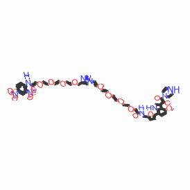 COc1ccc(-c2ccc(CNC(=O)COCCOCCOCCOCCn3cc(COCCOCCOCCOCCNc4ccc([N+](=O)[O-])cc4[N+](=O)[O-])nn3)o2)c2[nH]cc(C(=O)C(=O)N3CCNCC3)c12